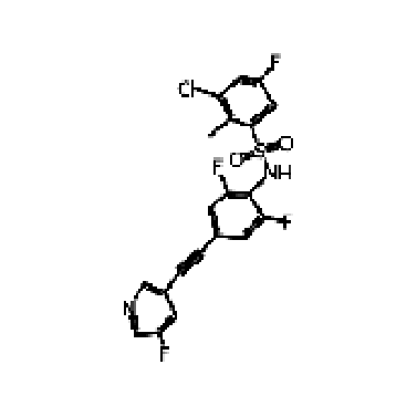 Cc1c(Cl)cc(F)cc1S(=O)(=O)Nc1c(F)cc(C#Cc2cncc(F)c2)cc1F